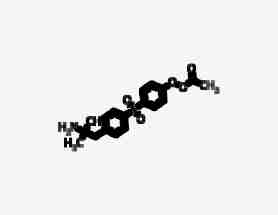 CC(=O)OOc1ccc(S(=O)(=O)c2ccc(CC(C)(C)N)cc2)cc1